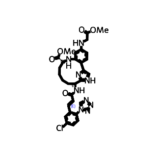 COC(=O)CNc1ccc2c(c1)N[C@@H](C(=O)OC)CCCC[C@H](NC(=O)/C=C/c1cc(Cl)ccc1-n1cnnn1)c1nc-2c[nH]1